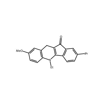 CCN1C2=C(Cc3cc(OC)ccc31)C(=O)c1cc(C(C)C)ccc12